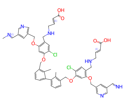 C/N=C/c1cncc(COc2cc(OCc3cccc(-c4cccc(COc5cc(OCc6cncc(C=N)c6)c(CNC/C=C/C(=O)O)cc5Cl)c4C)c3C)c(Cl)cc2CNC/C=C/C(=O)O)c1